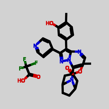 CCOC(=O)N1C2CCC1CC(c1ccnc3c(-c4ccc(C)c(O)c4)c(-c4ccncc4)nn13)C2.O=C(O)C(F)(F)F